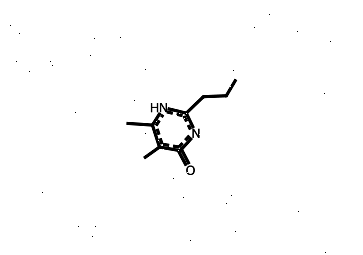 CCCc1nc(=O)c(C)c(C)[nH]1